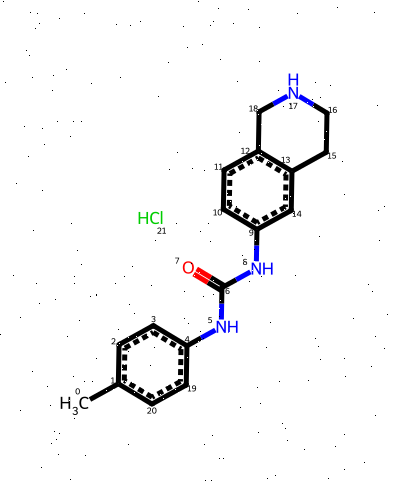 Cc1ccc(NC(=O)Nc2ccc3c(c2)CCNC3)cc1.Cl